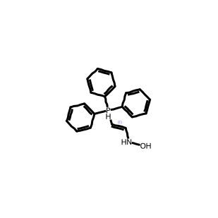 ON/C=C/[PH](c1ccccc1)(c1ccccc1)c1ccccc1